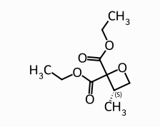 CCOC(=O)C1(C(=O)OCC)OC[C@@H]1C